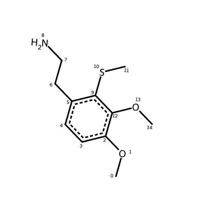 COc1ccc(CCN)c(SC)c1OC